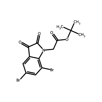 CC(C)(C)OC(=O)CN1C(=O)C(=O)c2cc(Br)cc(Br)c21